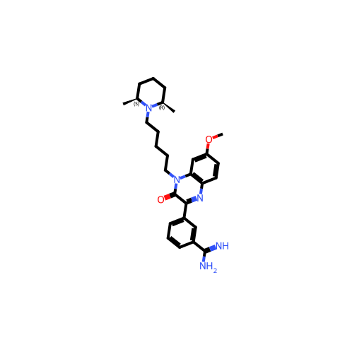 COc1ccc2nc(-c3cccc(C(=N)N)c3)c(=O)n(CCCCCN3[C@H](C)CCC[C@@H]3C)c2c1